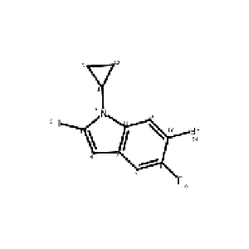 Fc1cc2cc(I)n(C3CC3)c2cc1Br